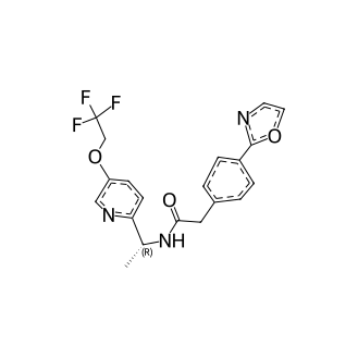 C[C@@H](NC(=O)Cc1ccc(-c2ncco2)cc1)c1ccc(OCC(F)(F)F)cn1